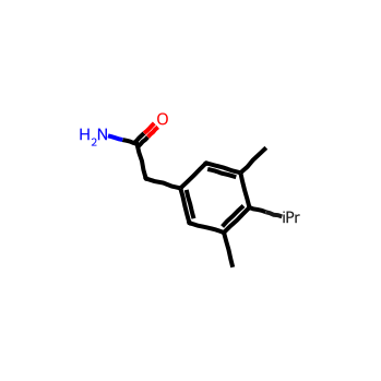 Cc1cc(CC(N)=O)cc(C)c1C(C)C